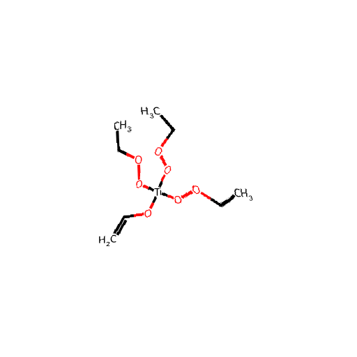 C=C[O][Ti]([O]OCC)([O]OCC)[O]OCC